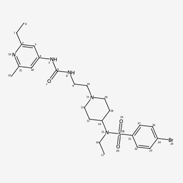 CCc1cc(NC(=O)NCCN2CCC(N(CC)S(=O)(=O)c3ccc(Br)cc3)CC2)cc(C)n1